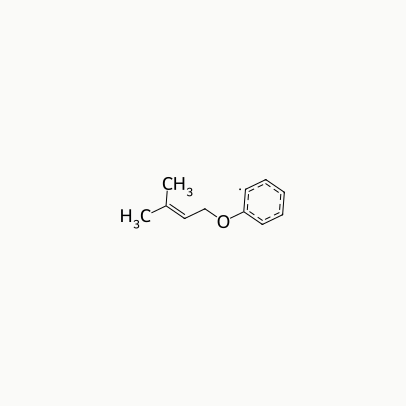 CC(C)=CCOc1[c]cccc1